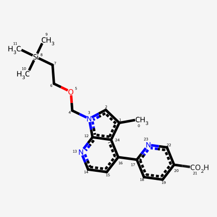 Cc1cn(COCC[Si](C)(C)C)c2nccc(-c3ccc(C(=O)O)cn3)c12